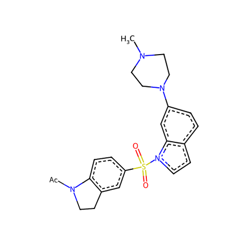 CC(=O)N1CCc2cc(S(=O)(=O)n3ccc4ccc(N5CCN(C)CC5)cc43)ccc21